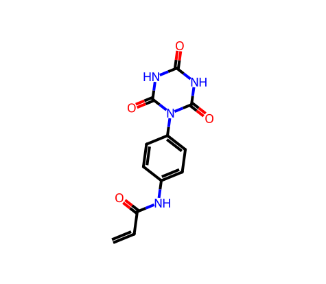 C=CC(=O)Nc1ccc(-n2c(=O)[nH]c(=O)[nH]c2=O)cc1